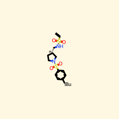 C=CS(=O)(=O)NC[C@H]1CCN(S(=O)(=O)c2ccc(C(C)CC)cc2)C1